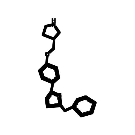 c1ccc(Cc2ccc(-c3ccc(OC[C@H]4CCNC4)cc3)s2)cc1